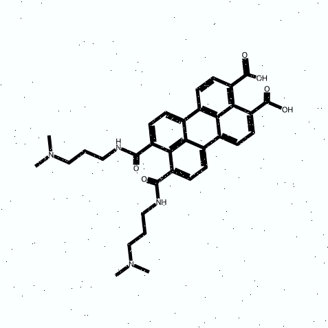 CN(C)CCCNC(=O)c1ccc2c3ccc(C(=O)O)c4c(C(=O)O)ccc(c5ccc(C(=O)NCCCN(C)C)c1c25)c43